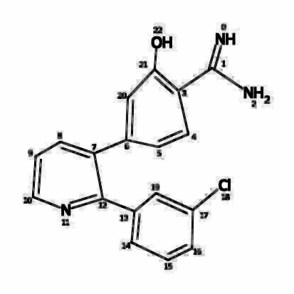 N=C(N)c1ccc(-c2cccnc2-c2cccc(Cl)c2)cc1O